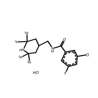 Cl.[2H]C1([2H])CC(CNC(=O)c2cc(F)cc(Cl)c2)CC([2H])([2H])N1